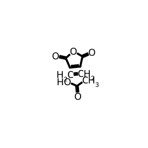 C=C.CC(=O)O.O=C1C=CC(=O)O1